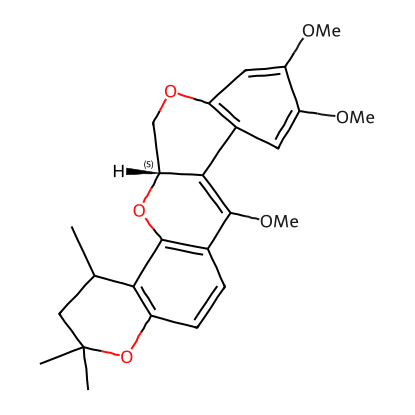 COC1=C2c3cc(OC)c(OC)cc3OC[C@H]2Oc2c1ccc1c2C(C)CC(C)(C)O1